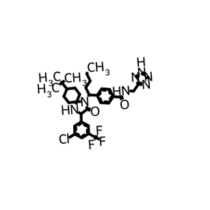 CCCCC(c1ccc(C(=O)NCc2nn[nH]n2)cc1)N1C(=O)C(c2cc(Cl)cc(C(F)(F)F)c2)NC12CCC(C(C)(C)C)CC2